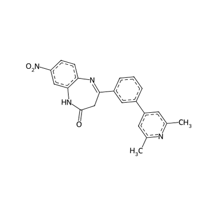 Cc1cc(-c2cccc(C3=Nc4ccc([N+](=O)[O-])cc4NC(=O)C3)c2)cc(C)n1